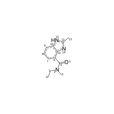 CCN(C)C(=O)c1cccc2[nH]c(C)nc12